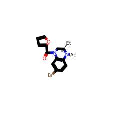 CC[C@H]1CN(C(=O)c2ccco2)c2cc(Br)ccc2N1C(C)=O